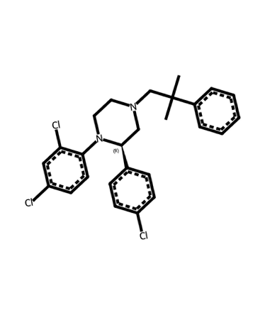 CC(C)(CN1CCN(c2ccc(Cl)cc2Cl)[C@H](c2ccc(Cl)cc2)C1)c1ccccc1